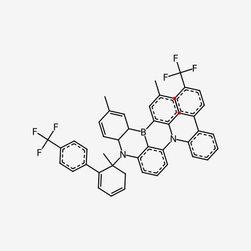 CC1=CC2B3c4cc(C)ccc4N(c4ccccc4-c4ccc(C(F)(F)F)cc4)c4cccc(c43)N(C3(C)CC=CC=C3c3ccc(C(F)(F)F)cc3)C2C=C1